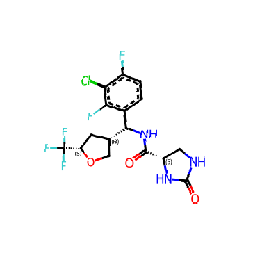 O=C1NC[C@@H](C(=O)NC(c2ccc(F)c(Cl)c2F)[C@@H]2CO[C@H](C(F)(F)F)C2)N1